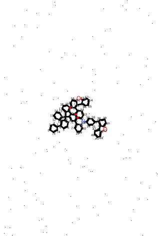 c1ccc(-c2cccc(C3(c4ccccc4)c4ccccc4-c4ccc(-c5ccccc5N(c5ccc(-c6cccc7oc8ccccc8c67)cc5)c5ccc(-c6cccc7oc8ccccc8c67)cc5)cc43)c2)cc1